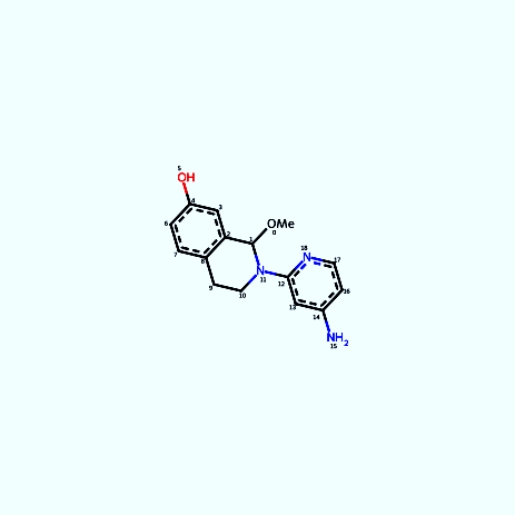 COC1c2cc(O)ccc2CCN1c1cc(N)ccn1